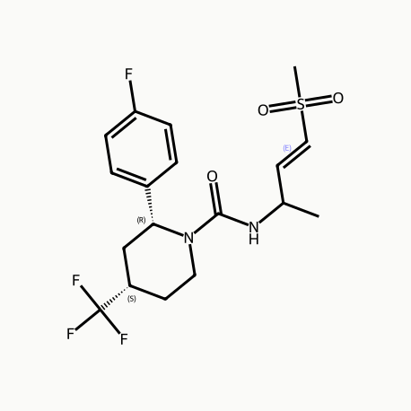 CC(/C=C/S(C)(=O)=O)NC(=O)N1CC[C@H](C(F)(F)F)C[C@@H]1c1ccc(F)cc1